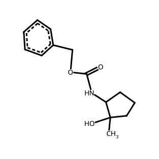 CC1(O)CCCC1NC(=O)OCc1ccccc1